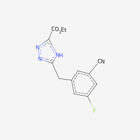 CCOC(=O)c1nnc(Cc2cc(F)cc(C#N)c2)[nH]1